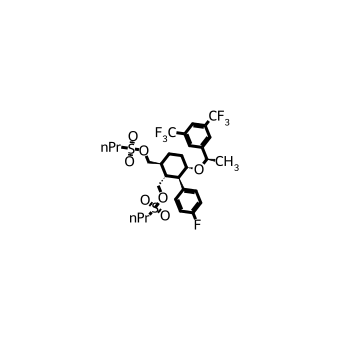 CCCS(=O)(=O)OC[C@H]1CC[C@H](O[C@H](C)c2cc(C(F)(F)F)cc(C(F)(F)F)c2)[C@@H](c2ccc(F)cc2)[C@@H]1COS(=O)(=O)CCC